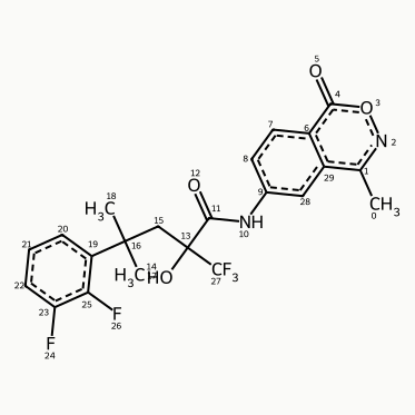 Cc1noc(=O)c2ccc(NC(=O)C(O)(CC(C)(C)c3cccc(F)c3F)C(F)(F)F)cc12